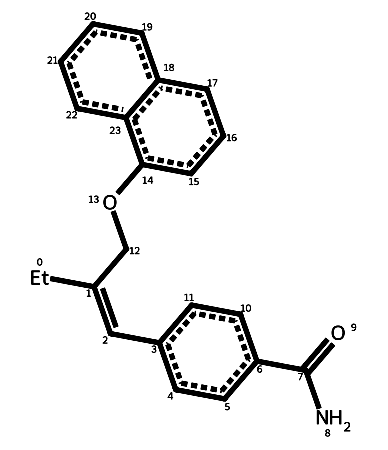 CC/C(=C/c1ccc(C(N)=O)cc1)COc1cccc2ccccc12